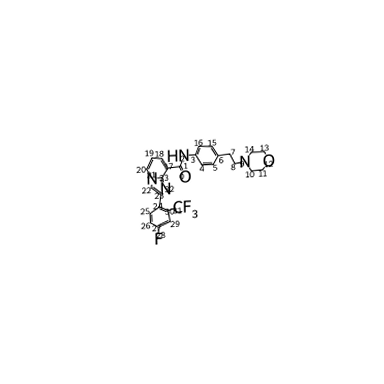 O=C(Nc1ccc(CCN2CCOCC2)cc1)c1cccn2cc(-c3ccc(F)cc3C(F)(F)F)nc12